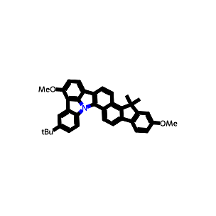 COc1ccc2c(c1)C(C)(C)c1c-2ccc2c1ccc1c3ccc(OC)c4c5cc(C(C)(C)C)ccc5n(c21)c34